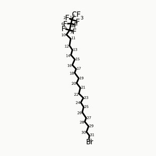 FC(F)(F)C(F)(F)C(F)(F)C(F)(F)CCCCCCCCCCCCCCCCCCCCCCBr